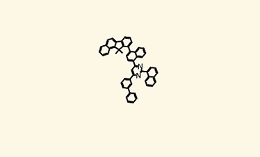 CC1(C)c2c(cccc2-c2ccc(-c3cc(-c4cccc(-c5ccccc5)c4)nc(-c4cccc5ccccc45)n3)c3ccccc23)-c2ccc3ccccc3c21